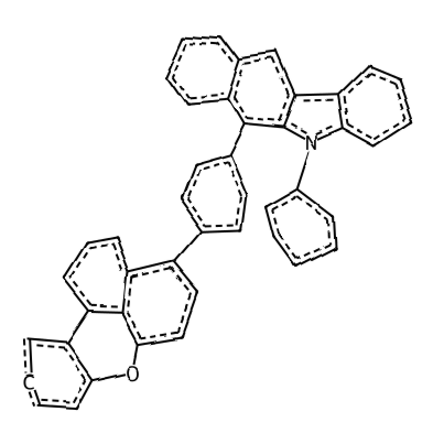 c1ccc(-n2c3ccccc3c3cc4ccccc4c(-c4ccc(-c5ccc6c7c(cccc57)-c5ccccc5O6)cc4)c32)cc1